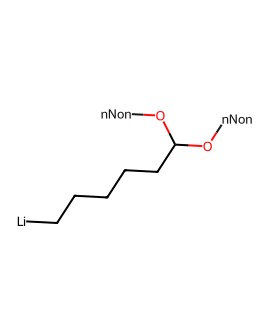 [Li][CH2]CCCCC(OCCCCCCCCC)OCCCCCCCCC